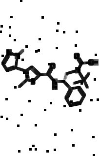 Cc1sc(C(=O)N[C@H](CN(C(=O)O)C(C)(C)C)c2ccccc2)cc1-c1ccnn1C